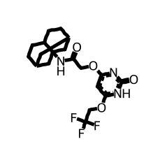 O=C(COc1cc(OCC(F)(F)F)[nH]c(=O)n1)NC12CC3CCC1CCC(C3)C2